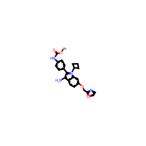 CC(C)OC(=O)Nc1ccc(-c2c(N)c3ccc(OCc4ncco4)cc3n2C2CCC2)cc1